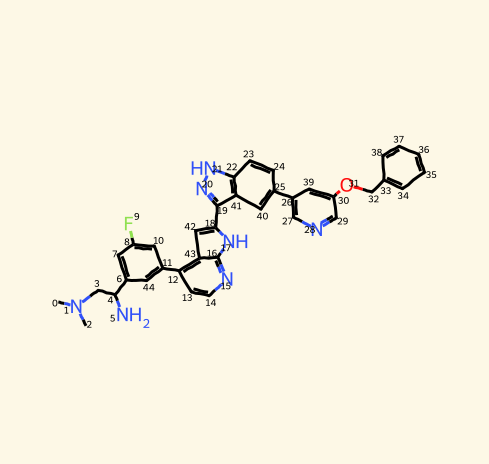 CN(C)CC(N)c1cc(F)cc(-c2ccnc3[nH]c(-c4n[nH]c5ccc(-c6cncc(OCc7ccccc7)c6)cc45)cc23)c1